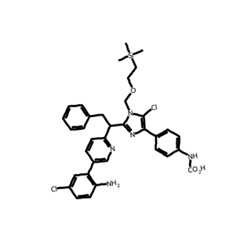 C[Si](C)(C)CCOCn1c(C(Cc2ccccc2)c2ccc(-c3cc(Cl)ccc3N)cn2)nc(-c2ccc(NC(=O)O)cc2)c1Cl